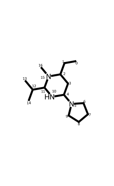 CCC1CC(N2CCCC2)NC(C(C)C)N1C